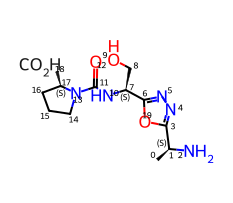 C[C@H](N)c1nnc([C@H](CO)NC(=O)N2CCC[C@H]2C(=O)O)o1